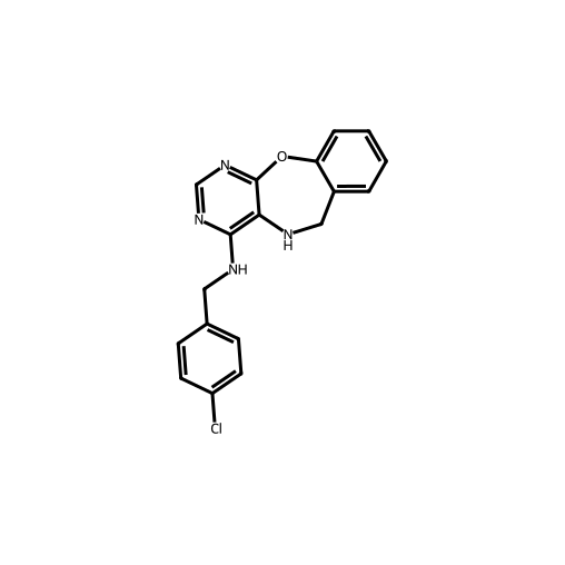 Clc1ccc(CNc2ncnc3c2NCc2ccccc2O3)cc1